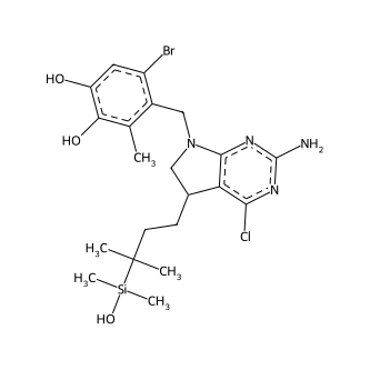 Cc1c(O)c(O)cc(Br)c1CN1CC(CCC(C)(C)[Si](C)(C)O)c2c(Cl)nc(N)nc21